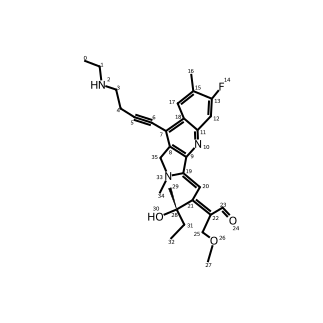 CCNCCC#Cc1c2c(nc3cc(F)c(C)cc13)/C(=C/C(=C(\C=O)COC)[C@@](C)(O)CC)N(C)C2